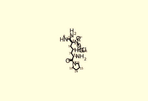 CNC(N)=C(CCC[C@H](N)C(=O)N1CCCC1)[N+](=O)[O-].Cl.Cl